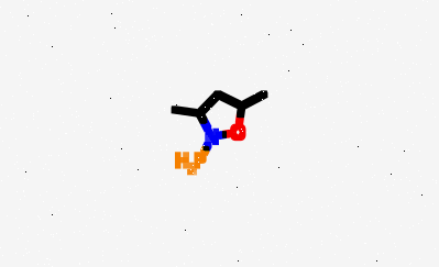 CC1CC(C)N(P)O1